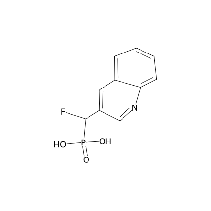 O=P(O)(O)C(F)c1cnc2ccccc2c1